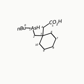 CCCC[AsH]CC1(CC(=O)O)CCCCC1